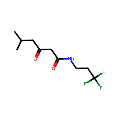 CC(C)CC(=O)CC(=O)NCCC(F)(F)F